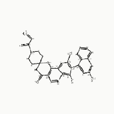 C=CC(=O)N1CCC2(CC1)CC(=O)c1cnc3c(F)c(-c4cc(O)cc5ccccc45)c(Cl)cc3c1O2